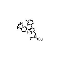 Cc1cccc(-c2nc(CN(C3CC3)C(C)(C)C)[nH]c2-c2ccc3ncnn3c2)n1